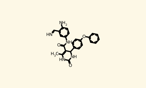 CC1=C(C(=O)Nc2ccc(N)c(C=N)c2)C(c2ccc(Oc3ccccc3)cc2)NC(=O)N1